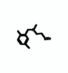 CNCCN(C)Cc1cc(C)ccc1C